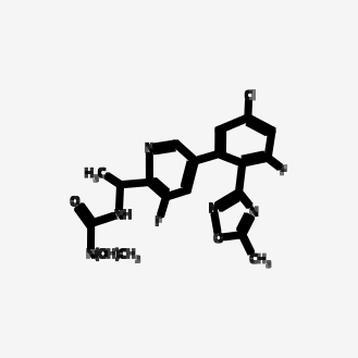 Cc1nc(-c2c(F)cc(Cl)cc2-c2cnc(C(C)NC(=O)N(C)O)c(F)c2)no1